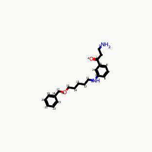 NCCC(=O)c1cccc(NCCCCCOCc2ccccc2)c1